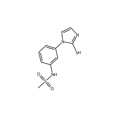 CS(=O)(=O)Nc1cccc(-n2ccnc2S)c1